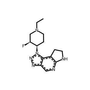 CCN1CC[C@@H](n2nnc3cnc4c(c32)CCN4)[C@@H](F)C1